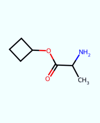 CC(N)C(=O)OC1CCC1